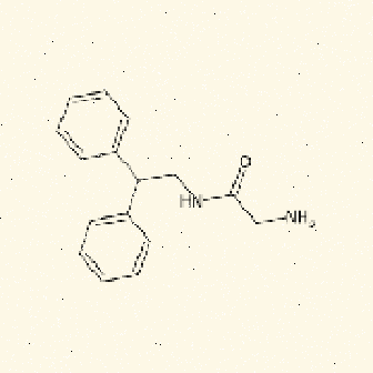 NCC(=O)NCC(c1ccccc1)c1ccccc1